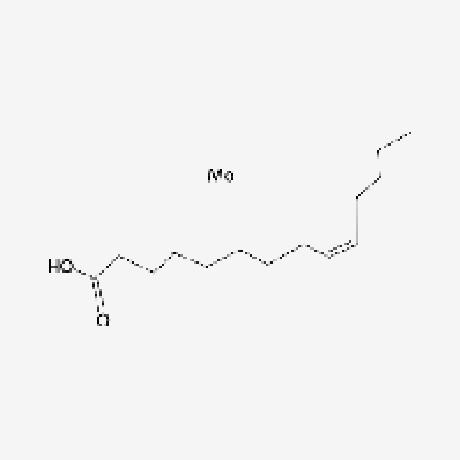 CCCC/C=C\CCCCCCCC(=O)O.[Mo]